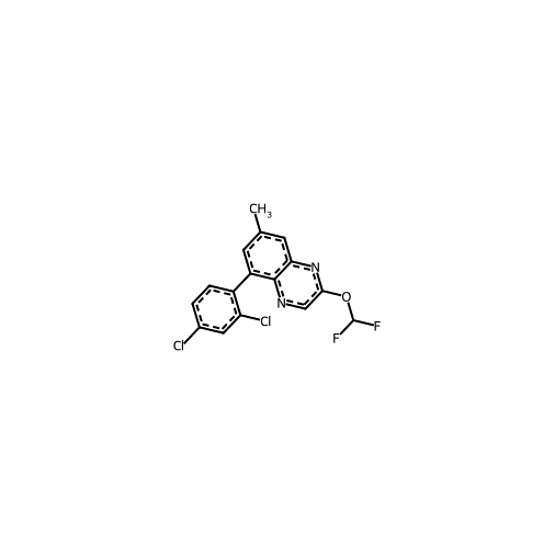 Cc1cc(-c2ccc(Cl)cc2Cl)c2ncc(OC(F)F)nc2c1